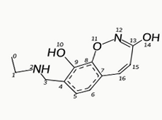 CCNCc1ccc2c(c1O)ON=C(O)C=C2